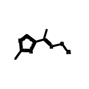 CCO/N=C(\C)c1csc(C)n1